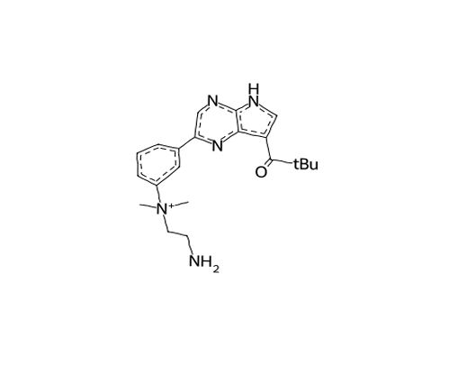 CC(C)(C)C(=O)c1c[nH]c2ncc(-c3cccc([N+](C)(C)CCN)c3)nc12